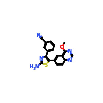 COc1ncnc2ccc(-c3sc(N)nc3-c3cccc(C#N)c3)cc12